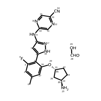 Cc1cc(F)c(-c2cc(Nc3cnc(C#N)cn3)n[nH]2)c(O[C@@H]2CC[C@@H](N)C2)c1.O=CO